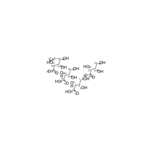 O=C(O)[C@H](O)[C@@H](O)CO.O=C(O)[C@H](O)[C@@H](O)CO.O=C([O-])[C@H](O)[C@@H](O)CO.O=C([O-])[C@H](O)[C@@H](O)CO.[Ca+2]